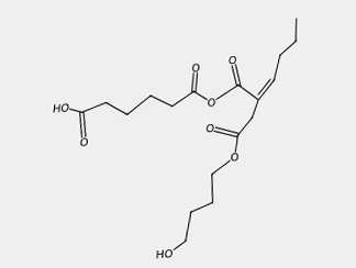 CCCC=C(CC(=O)OCCCCO)C(=O)OC(=O)CCCCC(=O)O